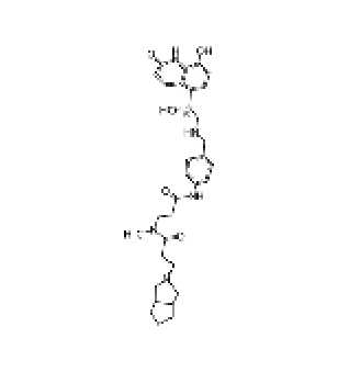 CN(CCC(=O)Nc1ccc(CNC[C@H](O)c2ccc(O)c3[nH]c(=O)ccc23)cc1)C(=O)CCN1CC2CCCC2C1